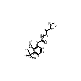 COc1c(CC(=O)NCCCN)cccc1C(C)(C)C